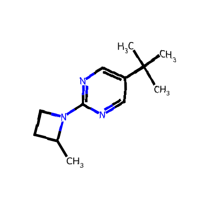 CC1CCN1c1ncc(C(C)(C)C)cn1